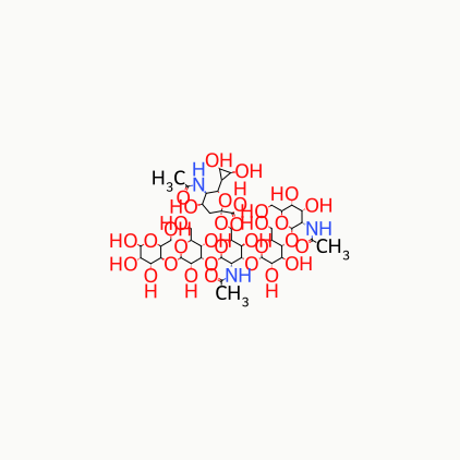 CC(=O)N[C@@H]1C(O[C@H]2C(CO)O[C@@H](O[C@H]3[C@H](O)C(CO[C@]4(C(=O)O)C[C@@H](O)[C@@H](NC(C)=O)C(C5C(O)[C@H]5O)O4)OC(O[C@@H]4[C@H](O)C(O[C@@H]5C(CO)OC(O)[C@@H](O)[C@H]5O)OC(CO)[C@@H]4O)[C@H]3NC(C)=O)[C@@H](O)C2O)OC(CO)[C@H](O)[C@@H]1O